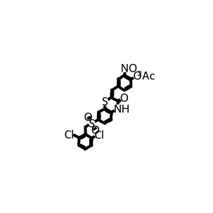 CC(=O)Oc1ccc(C=C2Sc3cc(S(=O)(=O)Cc4c(Cl)cccc4Cl)ccc3NC2=O)cc1[N+](=O)[O-]